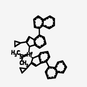 C[Si](C)=[Hf]([CH]1C(C2CC2)=Cc2c(-c3cccc4ccccc34)cccc21)[CH]1C(C2CC2)=Cc2c(-c3cccc4ccccc34)cccc21